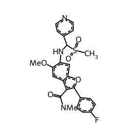 CNC(=O)c1c(-c2ccc(F)cc2)oc2cc(NC(c3ccncc3)S(C)(=O)=O)c(OC)cc12